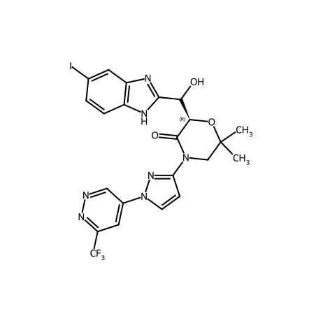 CC1(C)CN(c2ccn(-c3cnnc(C(F)(F)F)c3)n2)C(=O)[C@@H](C(O)c2nc3cc(I)ccc3[nH]2)O1